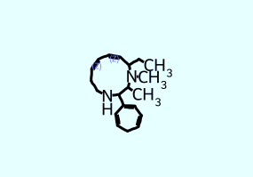 CCC1/C=C\C=C/CCNC(C2=CC=CCC=C2)C(C)N1C